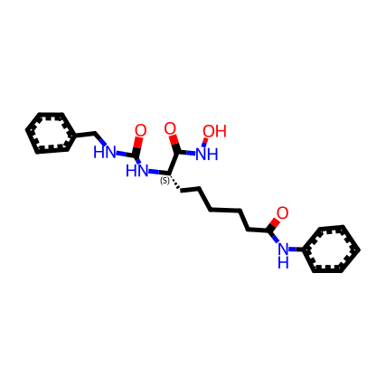 O=C(CCCCC[C@H](NC(=O)NCc1ccccc1)C(=O)NO)Nc1ccccc1